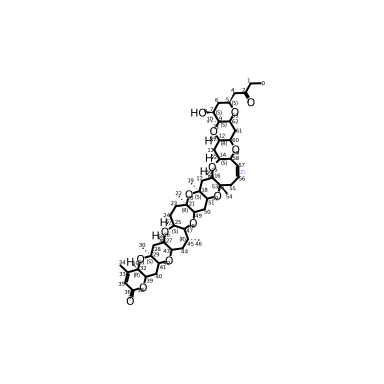 CCC(=O)C[C@@H]1C[C@H](O)[C@]2(C)O[C@@H]3C[C@@H]4O[C@@H]5C[C@]6(C)O[C@]7(C)CC[C@@H]8O[C@@H]9C[C@]%10(C)O[C@@H]%11C(C)=CC(=O)OC%11CC%10OC9C[C@@H](C)C8OC7CC6O[C@@]5(C)C/C=C\C4OC3CC2O1